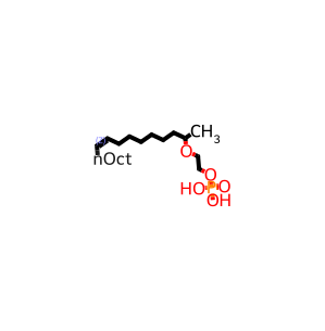 CCCCCCCC/C=C\CCCCCCC(C)OCCOP(=O)(O)O